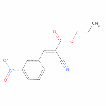 CCCOC(=O)/C(C#N)=C/c1cccc([N+](=O)[O-])c1